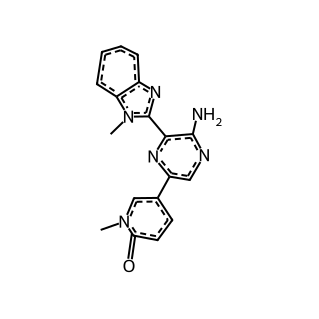 Cn1cc(-c2cnc(N)c(-c3nc4ccccc4n3C)n2)ccc1=O